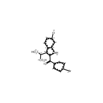 O=C(c1ccc(Br)cc1)c1[nH]c2cc(Cl)ccc2c1C(C(=O)O)C(=O)O